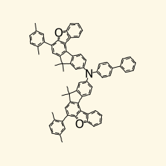 Cc1ccc(C)c(-c2cc3c(c4c2oc2ccccc24)-c2ccc(N(c4ccc(-c5ccccc5)cc4)c4ccc5c(c4)C(C)(C)c4cc(-c6cc(C)ccc6C)c6oc7ccccc7c6c4-5)cc2C3(C)C)c1